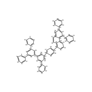 c1ccc(-c2cc(-c3ccccc3)cc(-c3cc(-c4ccccc4)nc(-c4ccc(-c5cccc6c5ccc5nc(-c7ccccc7)cc(-c7ccccc7)c56)cc4)n3)c2)cc1